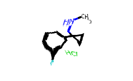 CNC1(c2cccc(F)c2)CC1.Cl